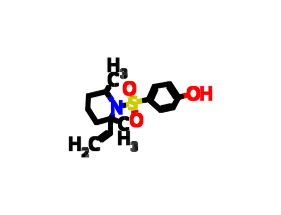 C=CC1(C)CCCC(C)N1S(=O)(=O)c1ccc(O)cc1